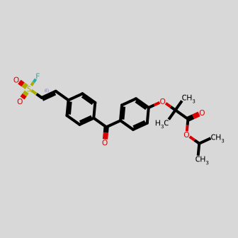 CC(C)OC(=O)C(C)(C)Oc1ccc(C(=O)c2ccc(/C=C/S(=O)(=O)F)cc2)cc1